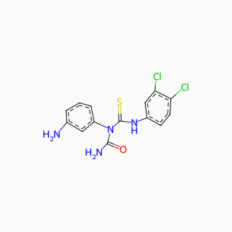 NC(=O)N(C(=S)Nc1ccc(Cl)c(Cl)c1)c1cccc(N)c1